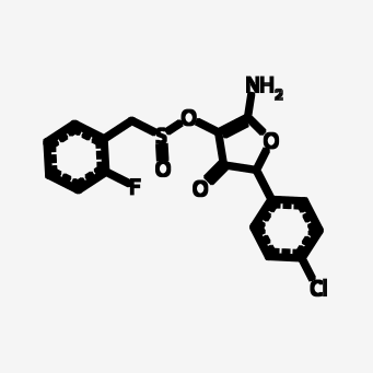 NC1=C(OS(=O)Cc2ccccc2F)C(=O)C(c2ccc(Cl)cc2)O1